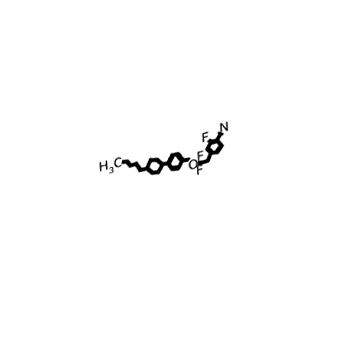 CCCCCC1CCC(c2ccc(COC(F)(F)Cc3ccc(C#N)c(F)c3)cc2)CC1